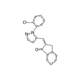 O=C1C(=Cc2ccnn2-c2ccccc2Cl)Cc2ccccc21